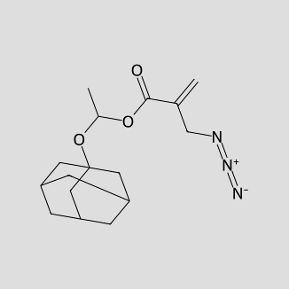 C=C(CN=[N+]=[N-])C(=O)OC(C)OC12CC3CC(CC(C3)C1)C2